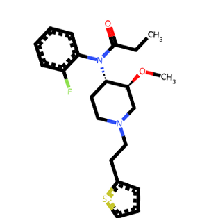 CCC(=O)N(c1ccccc1F)[C@H]1CCN(CCc2cccs2)C[C@@H]1OC